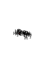 CC(C)(CC(=O)N1CCC(O)(c2ccc(F)cc2F)C(C)(C)C1)NC(=O)c1ccccc1